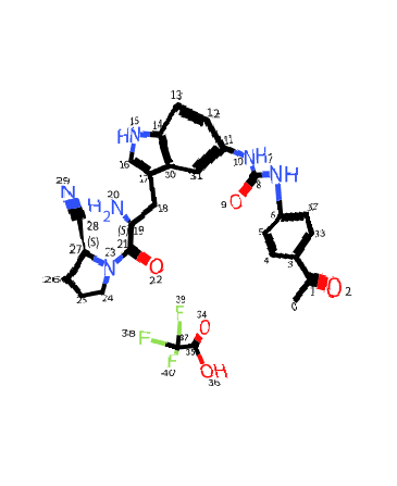 CC(=O)c1ccc(NC(=O)Nc2ccc3[nH]cc(C[C@H](N)C(=O)N4CCC[C@H]4C#N)c3c2)cc1.O=C(O)C(F)(F)F